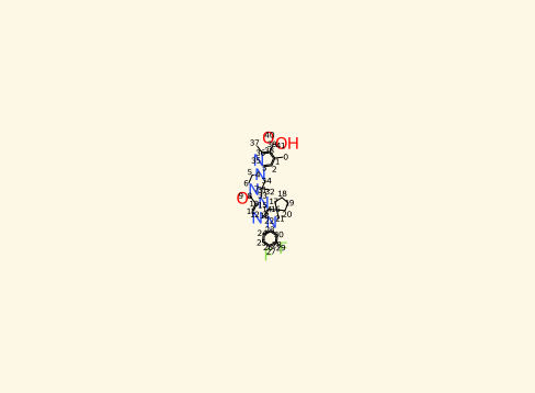 Cc1cc(N2CCN(C(=O)c3cnc4c(n3)C3(CCCC3)CN4c3ccc(F)c(F)c3)C(C)(C)C2)nc(C)c1C(=O)O